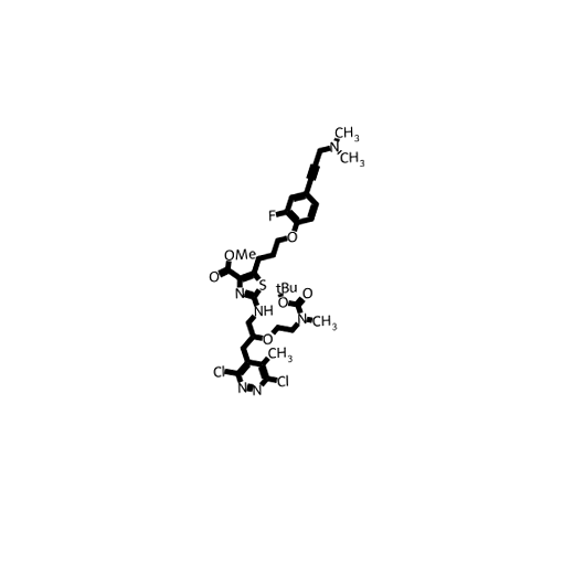 COC(=O)c1nc(NCC(Cc2c(Cl)nnc(Cl)c2C)OCCN(C)C(=O)OC(C)(C)C)sc1CCCOc1ccc(C#CCN(C)C)cc1F